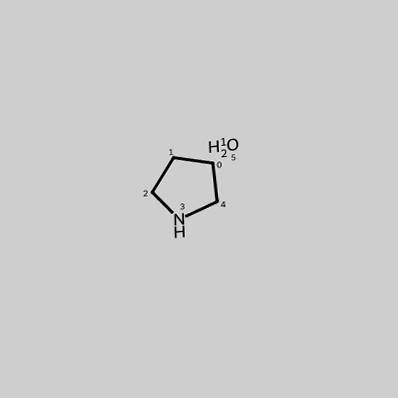 C1CCNC1.[1OH2]